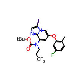 Cc1ccc(F)cc1Oc1cc(N(CCC(F)(F)F)C(=O)OC(C)(C)C)c2ncc(I)n2c1